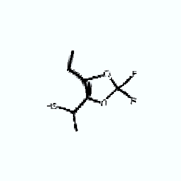 CCC1=C(C(C)S)OC(F)(F)O1